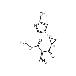 C=C(C(=O)OC)C(=O)[C@@H]1C[C@H]1c1cnn(C)c1